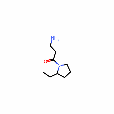 CCC1CCCN1C(=O)CCN